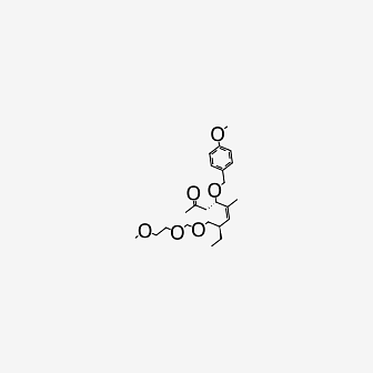 CC[C@H](/C=C(/C)[C@H](CC(C)=O)OCc1ccc(OC)cc1)COCOCCOC